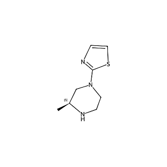 C[C@H]1CN(c2nccs2)CCN1